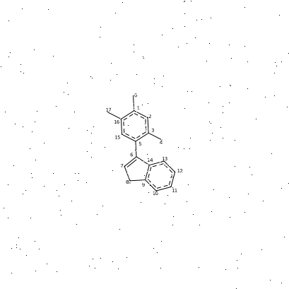 Cc1cc(C)c(C2=C[CH]c3ccccc32)cc1C